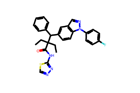 CCC(CC)(C(=O)Nc1nncs1)C(c1ccccc1)c1ccc2c(cnn2-c2ccc(F)cc2)c1